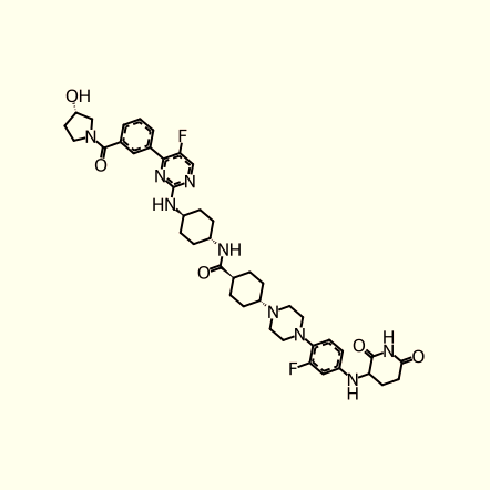 O=C1CCC(Nc2ccc(N3CCN([C@H]4CC[C@H](C(=O)N[C@H]5CC[C@H](Nc6ncc(F)c(-c7cccc(C(=O)N8CC[C@H](O)C8)c7)n6)CC5)CC4)CC3)c(F)c2)C(=O)N1